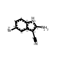 N#Cc1c(N)[nH]c2ccc(Br)cc12